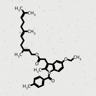 CCOc1ccc2c(c1)c(CC(=O)OC/C=C(\C)CC/C=C(\C)CCC=C(C)C)c(C)n2C(=O)c1ccc(C)cc1